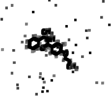 C=CCOc1ccc(C(=O)N[C@@H](C)c2ccccc2)cc1